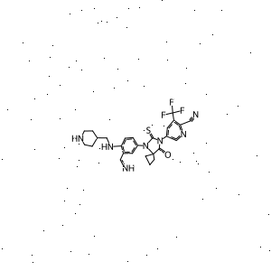 N#Cc1ncc(N2C(=O)C3(CCC3)N(c3ccc(NCC4CCNCC4)c(C=N)c3)C2=S)cc1C(F)(F)F